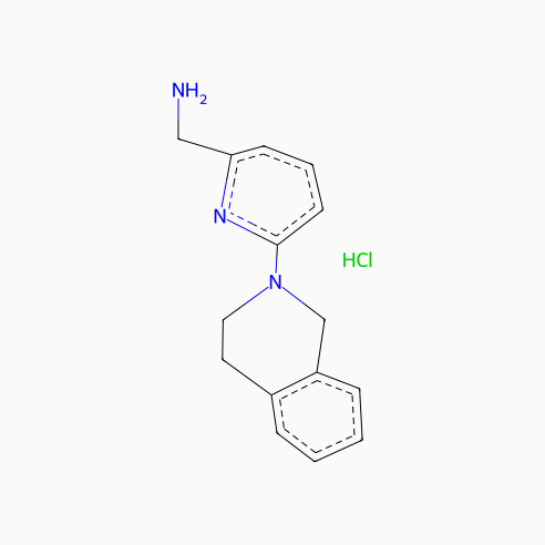 Cl.NCc1cccc(N2CCc3ccccc3C2)n1